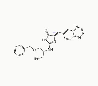 CC(C)CC(COCc1ccccc1)NC1=N/C(=C\c2ccc3nccnc3c2)C(=O)N1